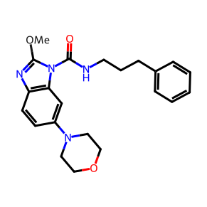 COc1nc2ccc(N3CCOCC3)cc2n1C(=O)NCCCc1ccccc1